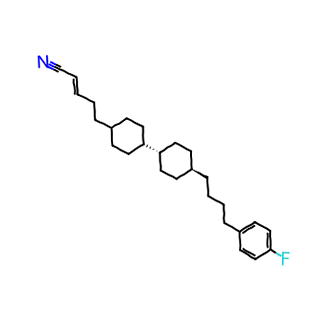 N#C/C=C/CCC1CCC([C@H]2CC[C@H](CCCCc3ccc(F)cc3)CC2)CC1